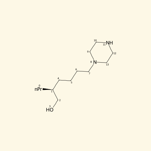 CCC[C@H](CO)CCCCN1CCNCC1